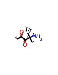 CC(=O)C(=O)C(C)(C)N.[Ta]